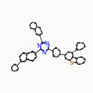 c1ccc(-c2ccc3cc(-c4nc(-c5ccc(-c6cc(-c7ccccc7)c7c(c6)sc6ccccc67)cc5)nc(-c5ccc6ccccc6c5)n4)ccc3c2)cc1